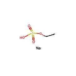 CCOS(=O)(=O)O.[Na]